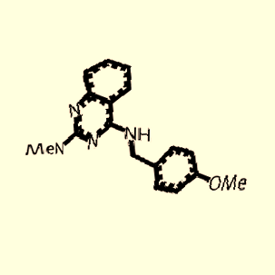 CNc1nc(NCc2ccc(OC)cc2)c2ccccc2n1